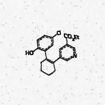 CCOC(=O)c1cncc(C2=C(c3cc(Cl)ccc3O)CCCC2)c1